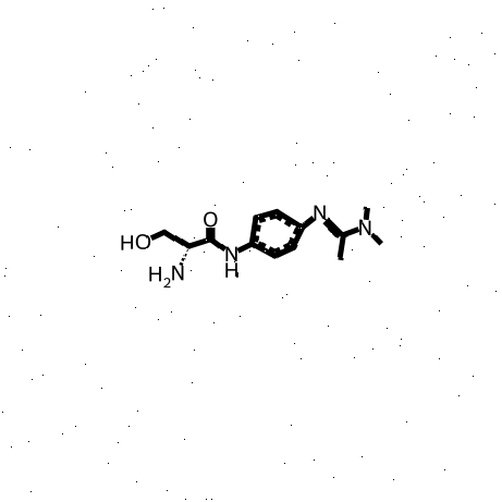 C/C(=N\c1ccc(NC(=O)[C@H](N)CO)cc1)N(C)C